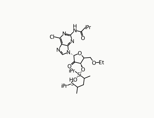 CCOCC1O[C@@H](n2cnc3c(Cl)nc(NC(=O)C(C)C)nc32)C(=O)[C@@H]1O[Si](O)(C(C)C)C(C)CC(C)SC(C)C